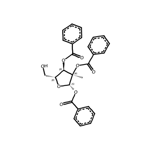 C[C@]1(OC(=O)c2ccccc2)[C@H](OC(=O)c2ccccc2)O[C@H](CO)[C@H]1OC(=O)c1ccccc1